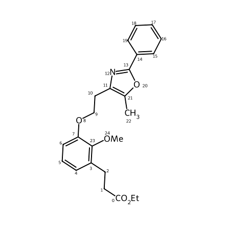 CCOC(=O)CCc1cccc(OCCc2nc(-c3ccccc3)oc2C)c1OC